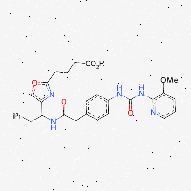 COc1cccnc1NC(=O)Nc1ccc(CC(=O)NC(CC(C)C)c2coc(CCCC(=O)O)n2)cc1